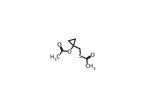 CC(=O)OC1(CSC(C)=O)CC1